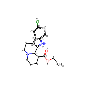 CCOC(=O)C1CCCN2CCc3c([nH]c4ccc(Cl)cc34)C12